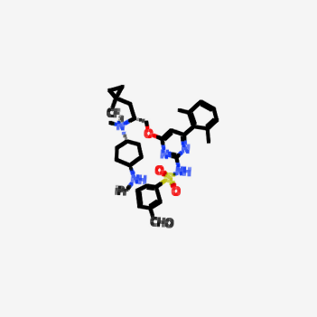 Cc1cccc(C)c1-c1cc(OC[C@@H](CC2(C(F)(F)F)CC2)N(C)[C@H]2CC[C@H](NC(C)C)CC2)nc(NS(=O)(=O)c2cccc(C=O)c2)n1